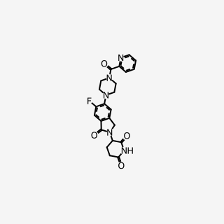 O=C1CCC(N2Cc3cc(N4CCN(C(=O)c5ccccn5)CC4)c(F)cc3C2=O)C(=O)N1